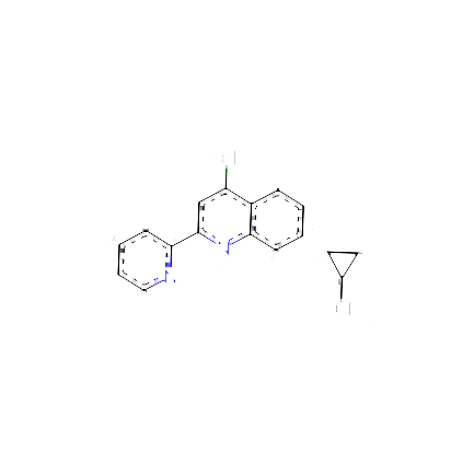 CC1C[C@H]1c1ccc2c(Cl)cc(-c3ccccn3)nc2c1